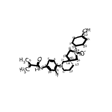 CC(C)C(=O)Nc1ccc(N2CCC[C@@]3(CC[N+]([O-])([C@H]4CC[C@H](O)CC4)C3)C2)c(F)c1